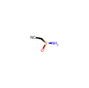 N#CC[S+](N)[O-]